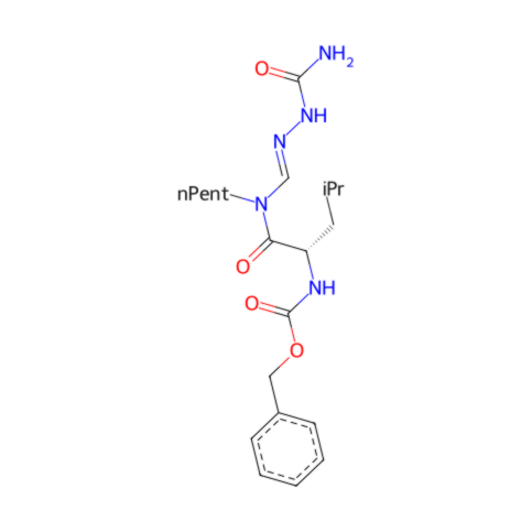 CCCCCN(/C=N/NC(N)=O)C(=O)[C@H](CC(C)C)NC(=O)OCc1ccccc1